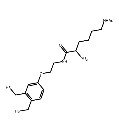 CC(=O)NCCCCC(N)C(=O)NCCOc1ccc(CS)c(CS)c1